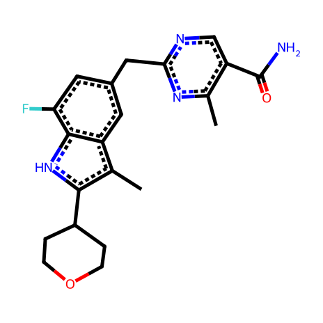 Cc1nc(Cc2cc(F)c3[nH]c(C4CCOCC4)c(C)c3c2)ncc1C(N)=O